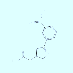 O=C(O)CC1CN=C(c2cccc([N+](=O)[O-])c2)C1